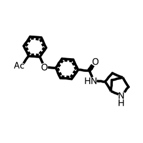 CC(=O)c1ccccc1Oc1ccc(C(=O)NC2CC3CNC2C3)cc1